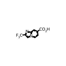 O=C(O)c1ccn2cc(C(F)(F)F)nc2c1